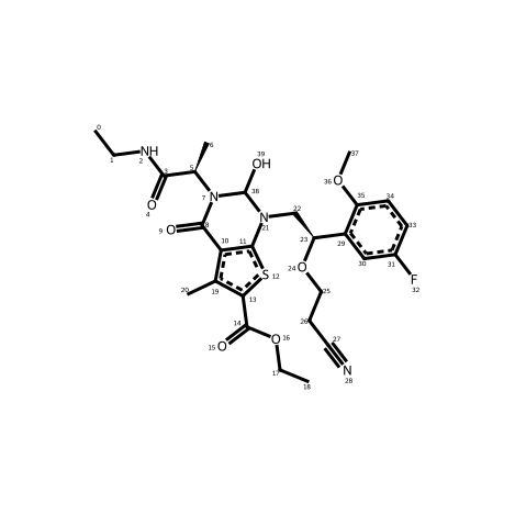 CCNC(=O)[C@@H](C)N1C(=O)c2c(sc(C(=O)OCC)c2C)N(C[C@H](OCCC#N)c2cc(F)ccc2OC)C1O